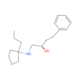 CCCC1(NC[C@H](O)[CH]Cc2ccccc2)CCCC1